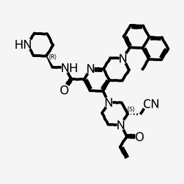 C=CC(=O)N1CCN(c2cc(C(=O)NC[C@@H]3CCCNC3)nc3c2CCN(c2cccc4cccc(C)c24)C3)C[C@@H]1CC#N